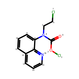 O=C(OCl)N(CCCl)c1cccc2cccnc12